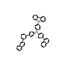 c1cc(-c2ccc(N(c3ccc(-c4cccc5ccccc45)cc3)c3ccc(-n4c5ccccc5c5ccccc54)cc3)cc2)cc(-c2ccc3ccccc3c2)c1